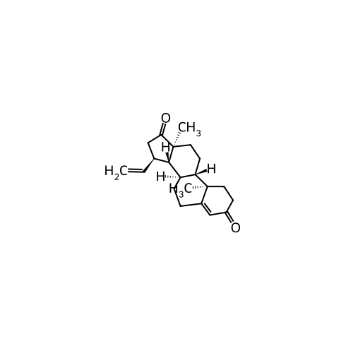 C=C[C@H]1CC(=O)[C@@]2(C)CC[C@H]3[C@@H](CCC4=CC(=O)CC[C@@]43C)[C@H]12